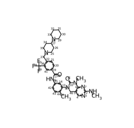 CNc1ncc2c(n1)N(C)C(=O)N(c1cc(NC(=O)c3ccc(CN4CCC(N5CCCCC5)CC4)c(C(F)(F)F)c3)ccc1C)C2